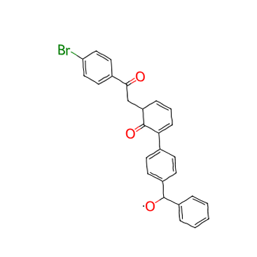 [O]C(c1ccccc1)c1ccc(C2=CC=CC(CC(=O)c3ccc(Br)cc3)C2=O)cc1